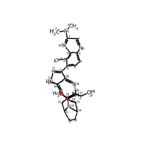 CN(C)c1cnc2ccc(-c3n[nH]c4nc(N5C6CCC5CC(C)(N)C6)c(CO)nc34)c(Cl)c2n1